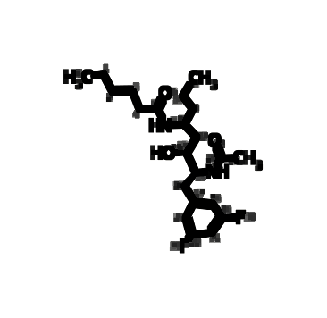 CCC=CCC(=O)NC(CCC)C[C@H](O)[C@H](Cc1cc(F)cc(F)c1)NC(C)=O